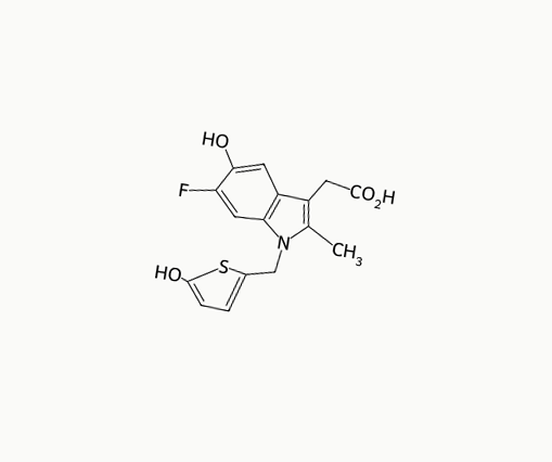 Cc1c(CC(=O)O)c2cc(O)c(F)cc2n1Cc1ccc(O)s1